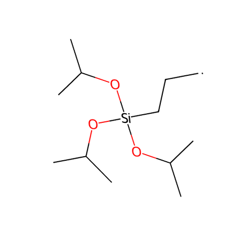 [CH2]CC[Si](OC(C)C)(OC(C)C)OC(C)C